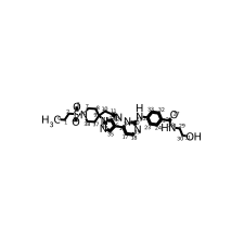 CCCS(=O)(=O)N1CCC(CC#N)(n2cc(-c3ccnc(Nc4ccc(C(=O)NCCO)cc4)n3)cn2)CC1